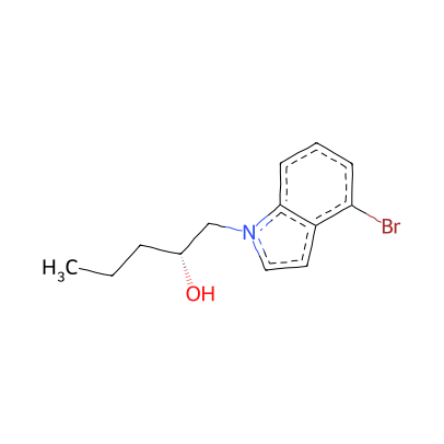 CCC[C@@H](O)Cn1ccc2c(Br)cccc21